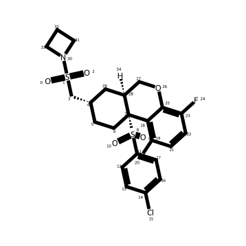 O=S(=O)(C[C@H]1CC[C@]2(S(=O)(=O)c3ccc(Cl)cc3)c3c(F)ccc(F)c3OC[C@@H]2C1)N1CCC1